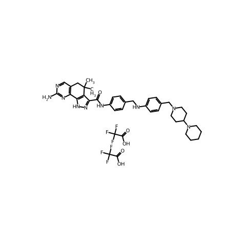 CC1(C)Cc2cnc(N)nc2-c2[nH]nc(C(=O)Nc3ccc(CNc4ccc(CN5CCC(N6CCCCC6)CC5)cc4)cc3)c21.O=C(O)C(F)(F)F.O=C(O)C(F)(F)F